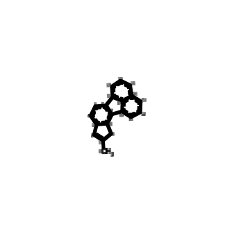 CC1=Cc2ccc3c(c2C1)-c1cccc2cccc-3c12